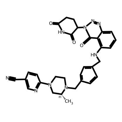 C[C@@H]1CN(c2ccc(C#N)cn2)CCN1Cc1ccc(CNc2cccc3nnn(C4CCC(=O)NC4=O)c(=O)c23)cc1